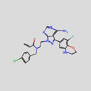 C=CC(=O)N(CCn1nc(-c2cc(F)c3c(c2)NCCO3)c2c(N)ncnc21)Cc1ccc(Cl)cc1